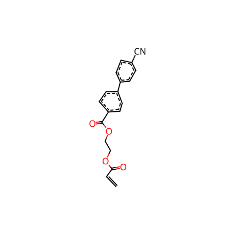 C=CC(=O)OCCOC(=O)c1ccc(-c2ccc(C#N)cc2)cc1